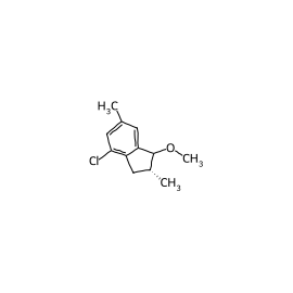 COC1c2cc(C)cc(Cl)c2C[C@H]1C